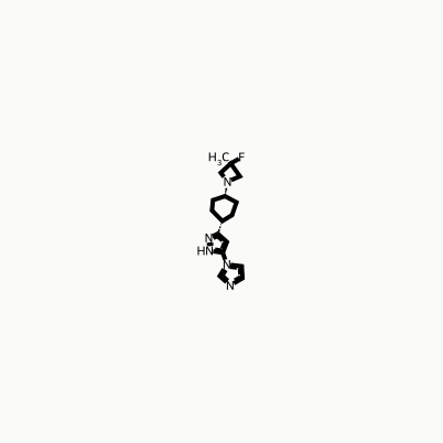 CC1(F)CN([C@H]2CC[C@@H](c3cc(-n4ccnc4)[nH]n3)CC2)C1